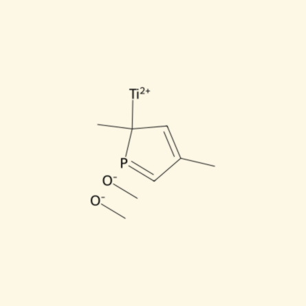 CC1=C[C](C)([Ti+2])P=C1.C[O-].C[O-]